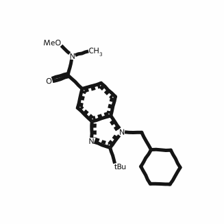 CON(C)C(=O)c1ccc2c(c1)nc(C(C)(C)C)n2CC1CCCCC1